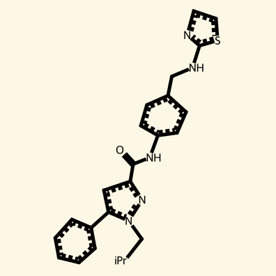 CC(C)Cn1nc(C(=O)Nc2ccc(CNc3nccs3)cc2)cc1-c1ccccc1